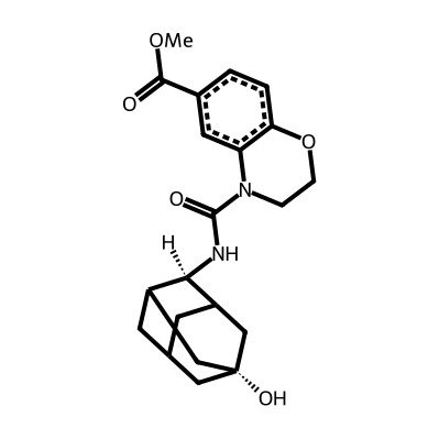 COC(=O)c1ccc2c(c1)N(C(=O)N[C@H]1C3CC4CC1C[C@](O)(C4)C3)CCO2